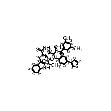 CCS(=O)(=O)N(C(=O)[C@H](Cc1ccc(-c2ccsc2)cc1)N(C)C(=O)c1cc(C)cc(C)c1)[C@@H](Cc1c[nH]c2ccccc12)C(N)=O